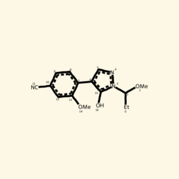 [CH2]CC(OC)n1ncc(-c2ccc(C#N)cc2OC)c1O